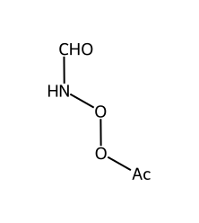 CC(=O)OONC=O